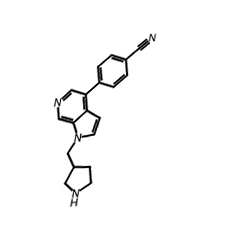 N#Cc1ccc(-c2cncc3c2ccn3CC2CCNC2)cc1